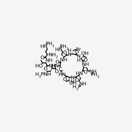 CC(C)C[C@H]1NC(=O)[C@H](CCNP)NC(=O)C(NC(=O)[C@@H](CCNP)NC(=O)[C@@H](NC(=O)[C@@H](N)CCNP)C(C)O)CCNC(=O)[C@H](C(C)O)NC(=O)[C@H](CCNP)NC(=O)[C@H](CCNP)NC(=O)[C@H](C(C)O)NC1=O